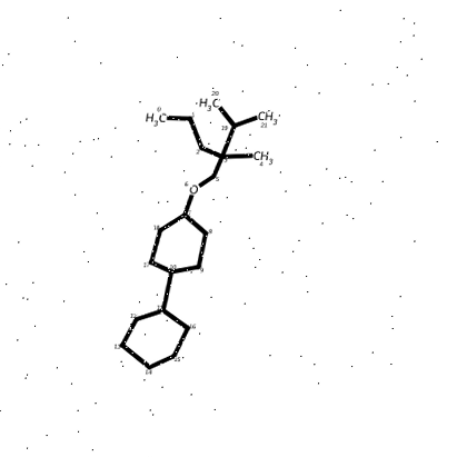 CCCC(C)(COC1CCC(C2CCCCC2)CC1)C(C)C